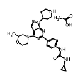 CC(=O)O.CC1CN(c2nc(-c3ccc(NC(=O)NC4CC4)cc3)nc3c2cnn3C2CCNCC2)CCO1